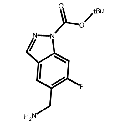 CC(C)(C)OC(=O)n1ncc2cc(CN)c(F)cc21